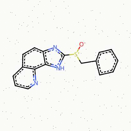 [O-][S+](Cc1ccccc1)c1nc2ccc3cccnc3c2[nH]1